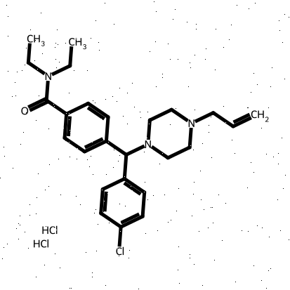 C=CCN1CCN(C(c2ccc(Cl)cc2)c2ccc(C(=O)N(CC)CC)cc2)CC1.Cl.Cl